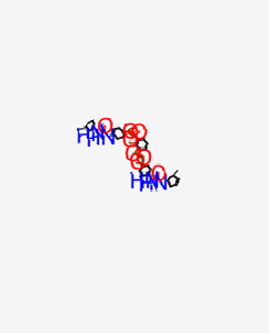 Cc1cccc(NC(=O)Nc2ccc(OS(=O)(=O)c3cccc(S(=O)(=O)Oc4ccc(NC(=O)Nc5cccc(C)c5)cc4)c3)cc2)c1